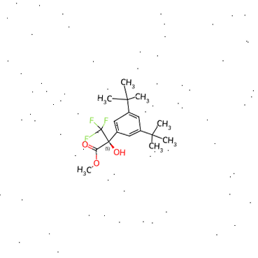 COC(=O)[C@@](O)(c1cc(C(C)(C)C)cc(C(C)(C)C)c1)C(F)(F)F